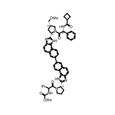 COC[C@H]1C[C@@H](c2nc3ccc4cc(-c5ccc6c(ccc7nc([C@@H]8CCCN8C(=O)C(NC(=O)OC)C(C)C)[nH]c76)c5)ccc4c3[nH]2)N(C(=O)[C@H](NC(=O)C2CCC2)c2ccccc2)C1